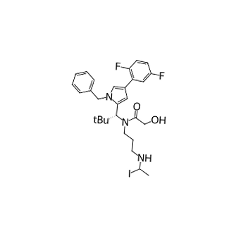 CC(I)NCCCN(C(=O)CO)[C@@H](c1cc(-c2cc(F)ccc2F)cn1Cc1ccccc1)C(C)(C)C